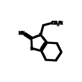 CCOC(=O)Cn1c2c(sc1=N)CCCC2